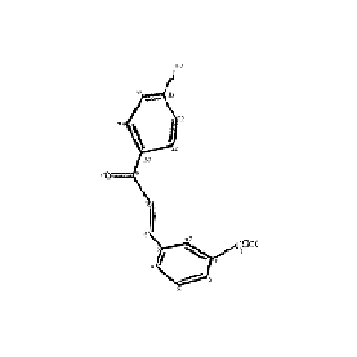 CCCCCCCCc1cccc(C=CC(=O)c2ccc(I)cc2)c1